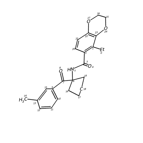 CCc1c(C(=O)NC2(C(=O)c3cccc(C)c3)CCCC2)ccc2c1OCCO2